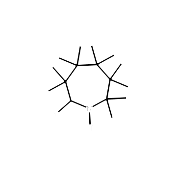 CC(C)C1N(C(C)C)C(C)(C)C(C)(C)C(C)(C)C(C)(C)C1(C)C